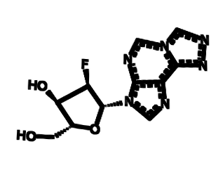 OC[C@H]1O[C@@H](n2cnc3c2ncn2cnnc32)[C@H](F)[C@@H]1O